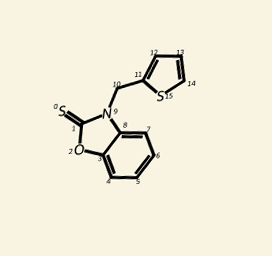 S=c1oc2ccccc2n1Cc1cccs1